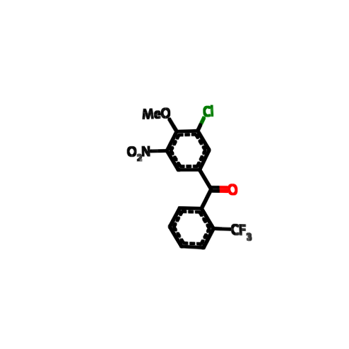 COc1c(Cl)cc(C(=O)c2ccccc2C(F)(F)F)cc1[N+](=O)[O-]